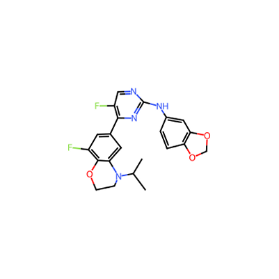 CC(C)N1CCOc2c(F)cc(-c3nc(Nc4ccc5c(c4)OCO5)ncc3F)cc21